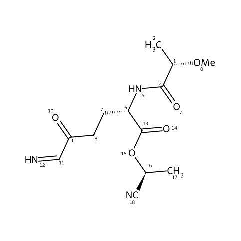 CO[C@@H](C)C(=O)N[C@@H](CCC(=O)C=N)C(=O)O[C@@H](C)C#N